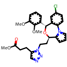 COC(=O)CCc1cnnn1CC[C@H]1O[C@H](c2cccc(OC)c2OC)c2cc(Cl)ccc2-n2cccc21